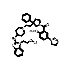 CCOCCn1c(NC2CCN(CCC3(c4ccccc4)CCN(C(=O)c4cc(N5CCN=N5)ccc4OC)C3)CC2)nc2ccccc21